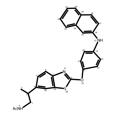 CC(=O)NCC(C)c1ccc2nc(Oc3ccc(Nc4ccc5ccccc5c4)cc3)sc2c1